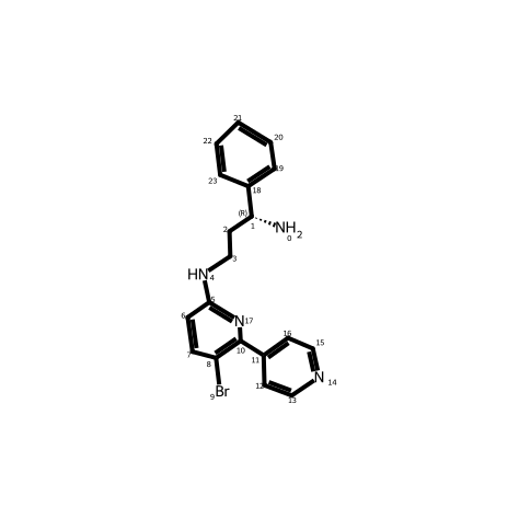 N[C@H](CCNc1ccc(Br)c(-c2ccncc2)n1)c1ccccc1